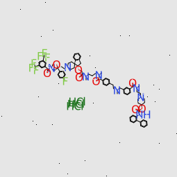 CN(CCc1ccc(C(=O)N(C)CCCN(C)C(=O)CO[C@H]2Cc3ccccc3C23CCN(CC[C@]2(c4ccc(F)cc4)CN(C(=O)c4cc(C(F)(F)F)cc(C(F)(F)F)c4)CO2)CC3)cc1)Cc1cccc(C(=O)N(C)CCN2CCC(OC(=O)Nc3ccccc3-c3ccccc3)CC2)c1.Cl.Cl.Cl